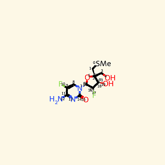 CSC[C@]1(CO)O[C@@H](n2cc(F)c(N)nc2=O)[C@@H](F)[C@@H]1O